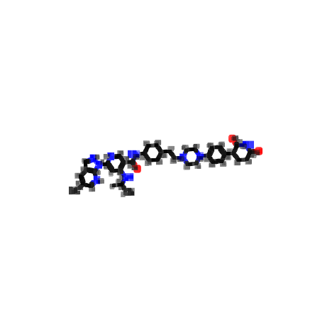 C[C@H](C#N)Nc1cc(-n2ncc3cc(C#N)cnc32)ncc1C(=O)NC1CCC(CCN2CCN(c3ccc(C4CCC(=O)NC4=O)cc3)CC2)CC1